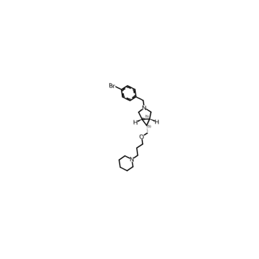 Brc1ccc(CN2C[C@@H]3[C@H](COCCCN4CCCCC4)[C@@H]3C2)cc1